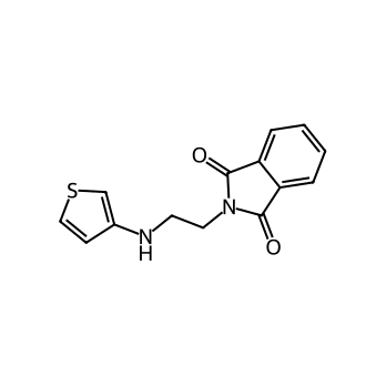 O=C1c2ccccc2C(=O)N1CCNc1ccsc1